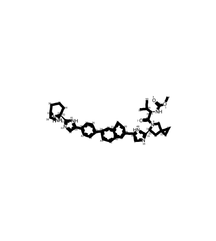 COC(=O)N[C@H](C(=O)N1CC2(CC2)C[C@H]1c1ncc(-c2ccc3cc(-c4ccc(-c5cnc([C@@]67CCCC(CN6)N7)[nH]5)cc4)ccc3c2)[nH]1)C(C)C